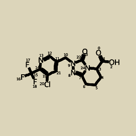 O=C(O)C1CCCc2nn(Cc3cnc(C(F)(F)F)c(Cl)c3)c(=O)n21